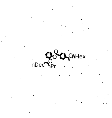 CCCCCCCCCCCC(CCC)Oc1ccccc1OC(=O)c1ccc(C(C)OCCCCCC)cc1